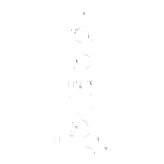 COc1ccc(-c2ccc([S+]([O-])N[C@H]3CC[C@H](C(=O)N[C@H](C)c4ccc(F)cc4)CC3)cc2)cn1